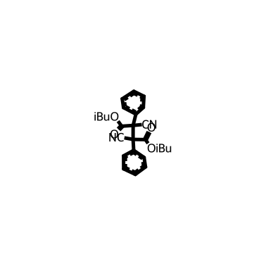 CC(C)COC(=O)C(C#N)(c1ccccc1)C(C#N)(C(=O)OCC(C)C)c1ccccc1